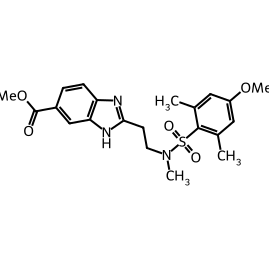 COC(=O)c1ccc2nc(CCN(C)S(=O)(=O)c3c(C)cc(OC)cc3C)[nH]c2c1